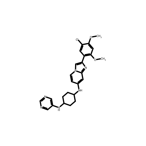 COc1cc(OC)c(-c2cn3ccc(NC4CCC(Nc5cncnc5)CC4)cc3n2)cc1Cl